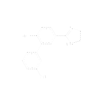 Cc1cccc(-c2cc(C3=NCCN3)ccc2O)c1